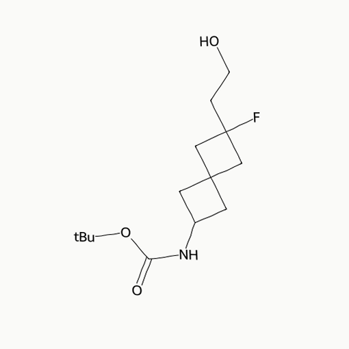 CC(C)(C)OC(=O)NC1CC2(C1)CC(F)(CCO)C2